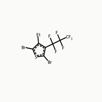 CCc1c(Br)sc(Br)c1C(F)(F)C(F)(F)C(F)(F)F